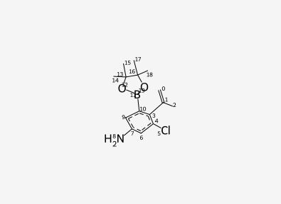 C=C(C)c1c(Cl)cc(N)cc1B1OC(C)(C)C(C)(C)O1